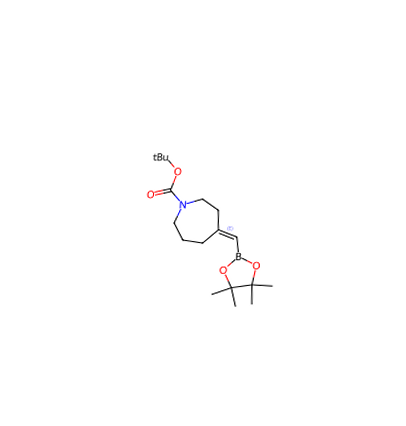 CC(C)(C)OC(=O)N1CCC/C(=C\B2OC(C)(C)C(C)(C)O2)CC1